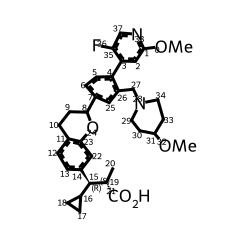 COc1cc(-c2ccc(C3CCc4ccc([C@H](C5CC5)[C@H](C)C(=O)O)cc4O3)cc2CN2CCC(OC)CC2)c(F)cn1